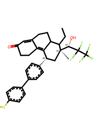 CCC1C2CCC3=CC(=O)CCC3=C2[C@@H](c2ccc(-c3ccc(SC)cc3)cc2)C[C@]1(C)[C@H](O)C(F)(F)C(F)(F)F